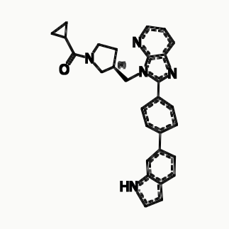 O=C(C1CC1)N1CC[C@@H](Cn2c(-c3ccc(-c4ccc5cc[nH]c5c4)cc3)nc3cccnc32)C1